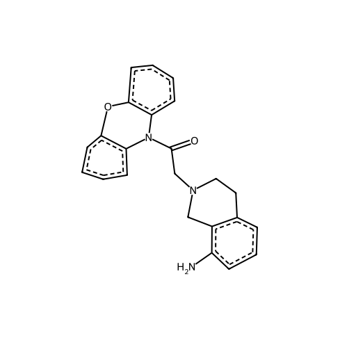 Nc1cccc2c1CN(CC(=O)N1c3ccccc3Oc3ccccc31)CC2